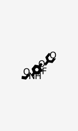 C=CC(=O)Nc1ccc(OCC2CCOCC2)c(F)c1